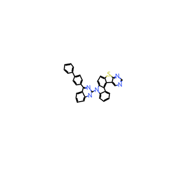 c1ccc(-c2ccc(-c3nc(-n4c5ccccc5c5c6c(ccc54)sc4ncncc46)nc4ccccc34)cc2)cc1